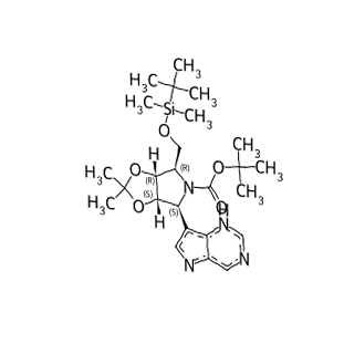 CC(C)(C)OC(=O)N1[C@H](CO[Si](C)(C)C(C)(C)C)[C@H]2OC(C)(C)O[C@H]2[C@@H]1c1cnc2cnc[nH]c1-2